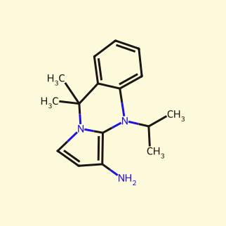 CC(C)N1c2ccccc2C(C)(C)n2ccc(N)c21